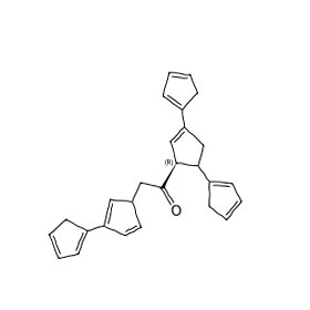 O=C(CC1C=CC(C2=CC=CC2)=C1)[C@H]1C=C(C2=CC=CC2)CC1C1=CC=CC1